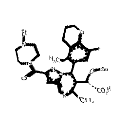 CCN1CCN(C(=O)c2cc3nc(C)c([C@H](OC(C)(C)C)C(=O)O)c(-c4cc(F)c5c(c4C)CCCO5)n3n2)CC1